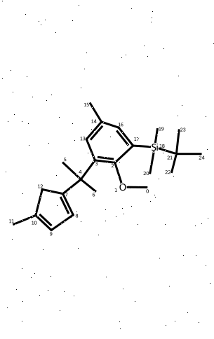 COc1c(C(C)(C)C2=CC=C(C)C2)cc(C)cc1[Si](C)(C)C(C)(C)C